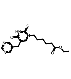 CCOC(=O)CCCCCn1cc(Cc2cncnc2)c(=O)[nH]c1=S